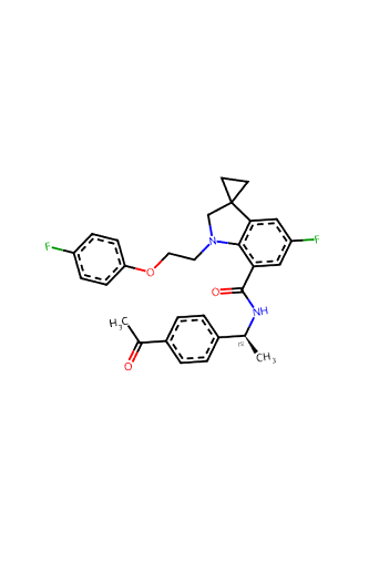 CC(=O)c1ccc([C@H](C)NC(=O)c2cc(F)cc3c2N(CCOc2ccc(F)cc2)CC32CC2)cc1